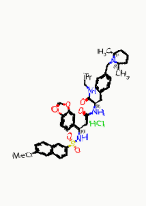 COc1ccc2cc(S(=O)(=O)N[C@H](CC(=O)N[C@H](Cc3ccc(CN4[C@H](C)CCC[C@@H]4C)cc3)C(=O)NCC(C)C)c3ccc4c(c3)OCO4)ccc2c1.Cl